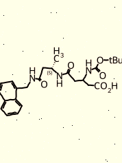 C[C@@H](CC(=O)NCc1cccc2ccccc12)NC(=O)CC(CC(=O)O)NC(=O)OC(C)(C)C